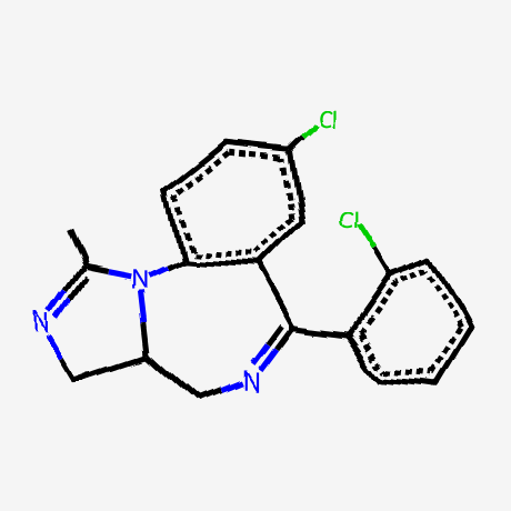 CC1=NCC2CN=C(c3ccccc3Cl)c3cc(Cl)ccc3N12